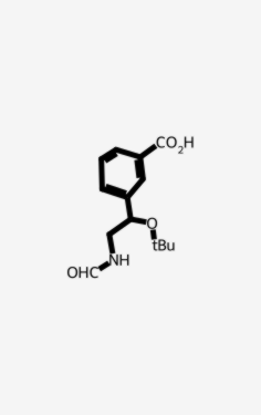 CC(C)(C)OC(CNC=O)c1cccc(C(=O)O)c1